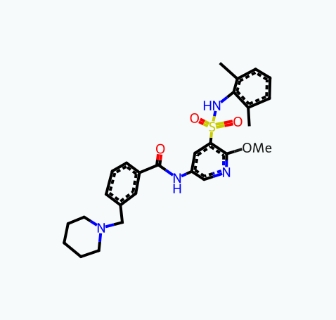 COc1ncc(NC(=O)c2cccc(CN3CCCCC3)c2)cc1S(=O)(=O)Nc1c(C)cccc1C